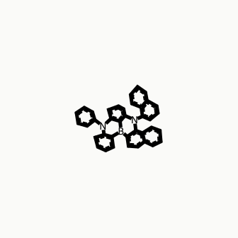 c1ccc(N2c3ccccc3B3c4ccc5ccccc5c4N(c4cccc5ccccc45)c4cccc2c43)cc1